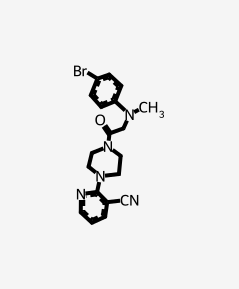 CN(CC(=O)N1CCN(c2ncccc2C#N)CC1)c1ccc(Br)cc1